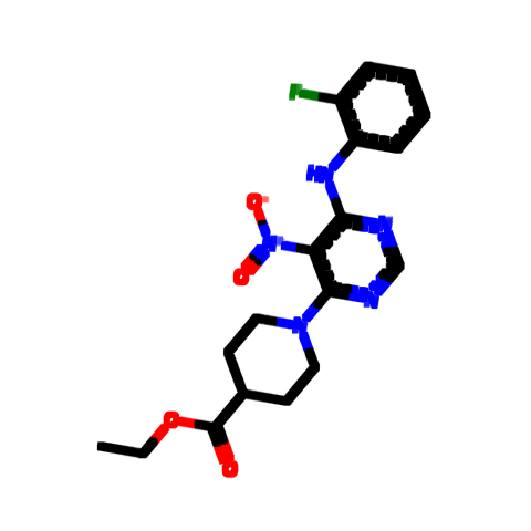 CCOC(=O)C1CCN(c2ncnc(Nc3ccccc3F)c2[N+](=O)[O-])CC1